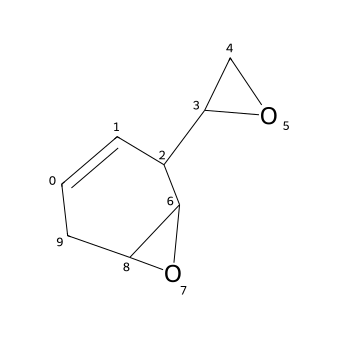 C1=CC(C2CO2)C2OC2C1